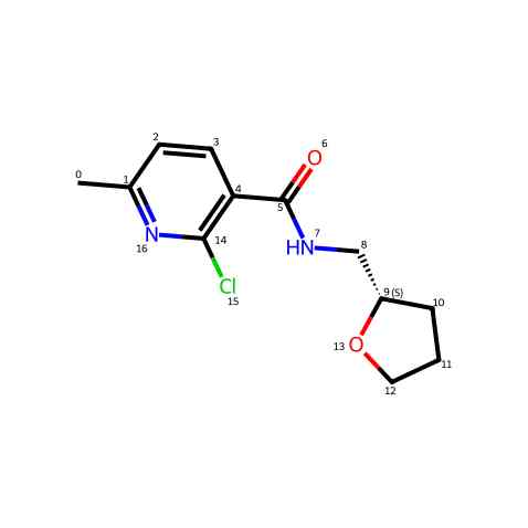 Cc1ccc(C(=O)NC[C@@H]2CCCO2)c(Cl)n1